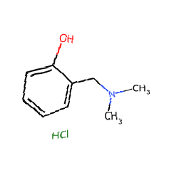 CN(C)Cc1ccccc1O.Cl